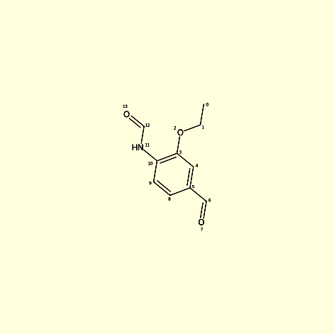 CCOc1cc(C=O)ccc1NC=O